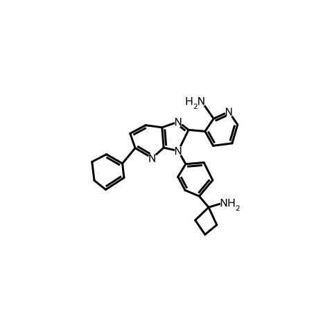 Nc1ncccc1-c1nc2ccc(C3=CCCC=C3)nc2n1-c1ccc(C2(N)CCC2)cc1